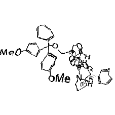 B[C@@H]1O[C@]2(COC(c3ccccc3)(c3ccc(OC)cc3)c3ccc(OC)cc3)CO[C@H]1C2O[C@H]1O[C@H](c2ccccc2)[C@@H]2CCCN12